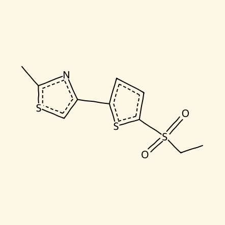 CCS(=O)(=O)c1ccc(-c2csc(C)n2)s1